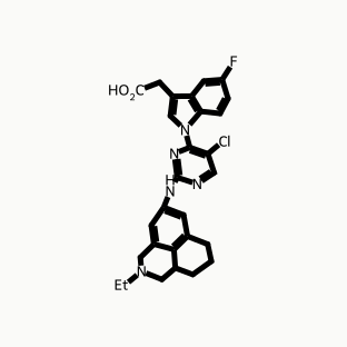 CCN1Cc2cc(Nc3ncc(Cl)c(-n4cc(CC(=O)O)c5cc(F)ccc54)n3)cc3c2C(CCC3)C1